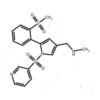 CNCc1cc(-c2ccccc2S(C)(=O)=O)n(S(=O)(=O)c2cccnc2)c1